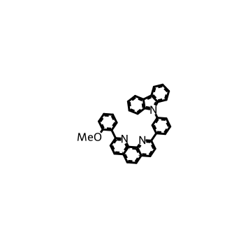 COc1ccccc1-c1ccc2ccc3ccc(-c4cccc(-n5c6ccccc6c6ccccc65)c4)nc3c2n1